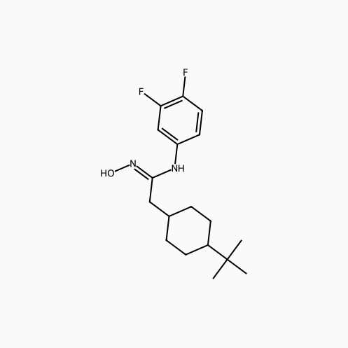 CC(C)(C)C1CCC(C/C(=N\O)Nc2ccc(F)c(F)c2)CC1